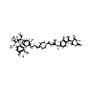 CN(C(=O)C(C)(C)N(C=S)c1ccc(OCCN2CCN(CCC(=O)Nc3ccc4c(C5CCC(=O)NC5=O)noc4c3)CC2)c(F)c1)c1ccc(C#N)c(C(F)(F)F)c1